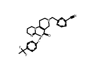 CC(F)(F)c1ccc(CN2C(=O)C3=C(CCN(Cc4cccc(C#N)c4)C3)N3CCCN=C23)cc1